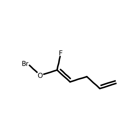 C=CC/C=C(\F)OBr